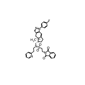 C[C@]12Cc3cnn(-c4ccc(F)cc4)c3C=C1CC[C@@H]2CN(CCc1ccccn1)S(=O)(=O)CCN1C(=O)c2ccccc2C1=O